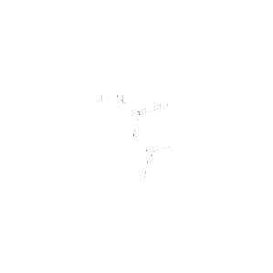 CN(C)CC(N)=O